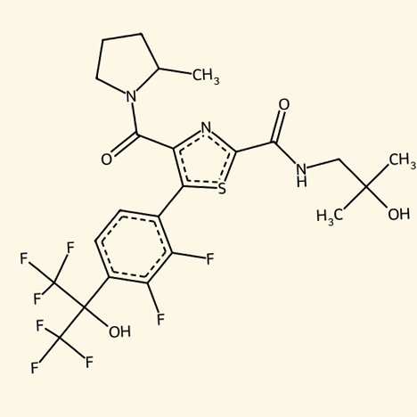 CC1CCCN1C(=O)c1nc(C(=O)NCC(C)(C)O)sc1-c1ccc(C(O)(C(F)(F)F)C(F)(F)F)c(F)c1F